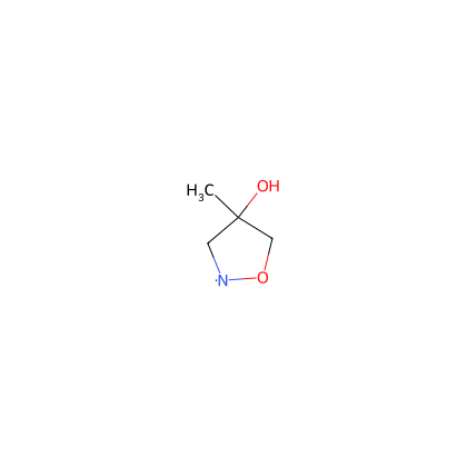 CC1(O)C[N]OC1